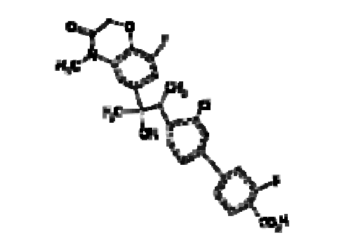 CC(c1ccc(-c2ccc(C(=O)O)c(F)c2)cc1Cl)C(O)(c1cc(F)c2c(c1)N(C)C(=O)CO2)C(F)(F)F